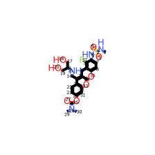 CNS(=O)(=O)Nc1cccc(Cc2c(CNC(CO)CO)c3ccc(OC(=O)N(C)C)cc3oc2=O)c1F